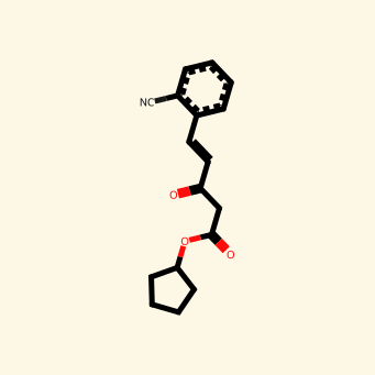 N#Cc1ccccc1C=CC(=O)CC(=O)OC1CCCC1